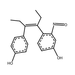 CCC(=C(CC)c1ccc(O)cc1N=O)c1ccc(O)cc1